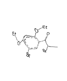 CCOc1cc(OCC)c(C(=O)C(C)Br)cc1Br